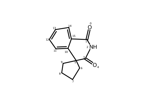 O=C1NC(=O)C2(CCCC2)c2ccccc21